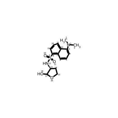 CN(C)c1cccc2c(S(=O)(=O)N[C@H]3CCOC3O)cccc12